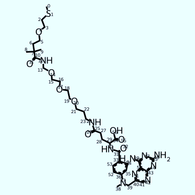 CSCCOCCC(C)(C)C(=O)NCOCCOCCOCCCNC(=O)CCC(NC(=O)c1ccc(N(C)Cc2cnc3nc(N)nc(N)c3n2)cc1)C(=O)O